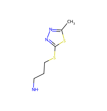 Cc1nnc(SCCC[NH])s1